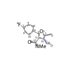 C=c1oc(-c2ccc(F)cc2)c(C(=O)NC)/c1=C/C